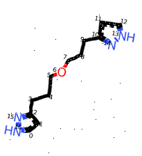 c1cc(CCCOCCCc2cc[nH]n2)n[nH]1